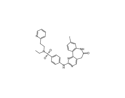 CCN(CCc1ccccn1)S(=O)(=O)c1ccc(Nc2ncc3c(n2)-c2ccc(I)cc2NC(=O)C3)cc1